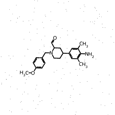 COc1ccc(CN2CCC(c3cc(C)c(N)c(C)c3)CC2C=O)cc1